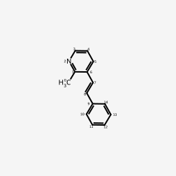 Cc1ncccc1C=Cc1ccccc1